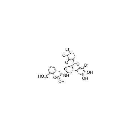 CCN1CCN(C(=O)NC(CC(=O)N[C@H]2Cc3cccc(C(=O)O)c3OB2O)c2cc(O)c(O)c(Br)c2)C(=O)C1=O